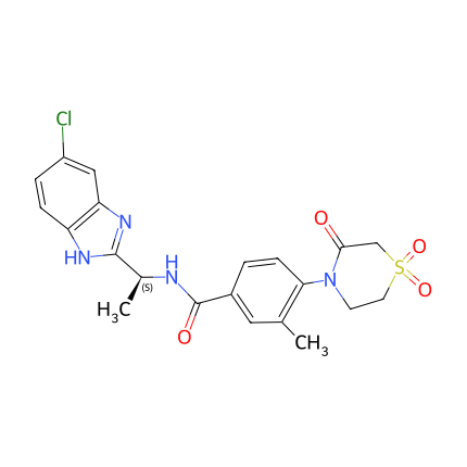 Cc1cc(C(=O)N[C@@H](C)c2nc3cc(Cl)ccc3[nH]2)ccc1N1CCS(=O)(=O)CC1=O